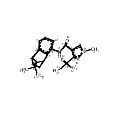 CC(C)=C1C2CCC1c1c(NC(=O)c3cn(C)nc3C(C)(F)P)cccc12